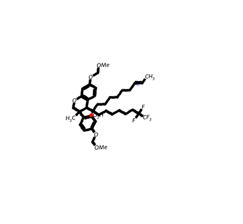 C/C=C/CCCCCCC(CCCCCCC(F)(F)C(F)(F)F)(C(=O)O)C1c2ccc(OCOC)cc2OCC1(C)c1ccc(OCOC)cc1